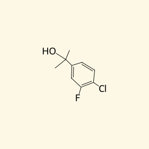 CC(C)(O)c1ccc(Cl)c(F)c1